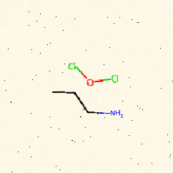 CCCN.ClOCl